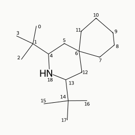 CC(C)(C)C1CC2(CCCCC2)CC(C(C)(C)C)N1